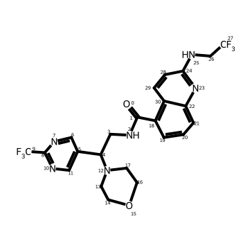 O=C(NCC(c1cnc(C(F)(F)F)nc1)N1CCOCC1)c1cccc2nc(NCC(F)(F)F)ccc12